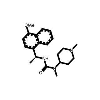 COc1ccc([C@H](C)NC(=O)N(C)C2CCN(C)CC2)c2ccccc12